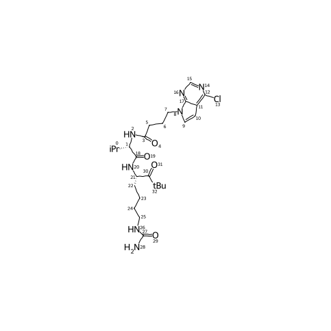 CC(C)[C@H](NC(=O)CCCn1ccc2c(Cl)ncnc21)C(=O)N[C@@H](CCCCNC(N)=O)C(=O)C(C)(C)C